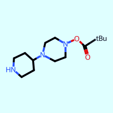 CC(C)(C)C(=O)ON1CCN(C2CCNCC2)CC1